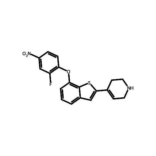 O=[N+]([O-])c1ccc(Oc2cccc3cc(C4=CCNCC4)sc23)c(F)c1